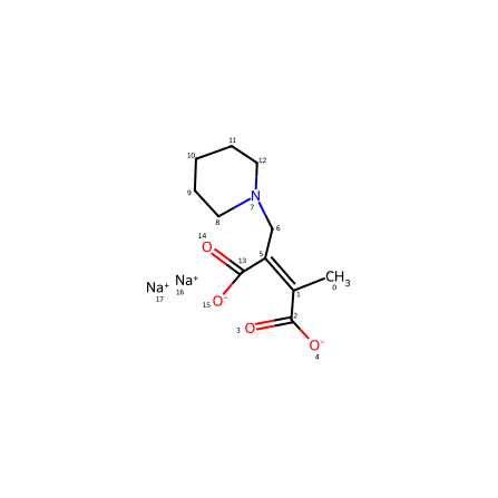 C/C(C(=O)[O-])=C(\CN1CCCCC1)C(=O)[O-].[Na+].[Na+]